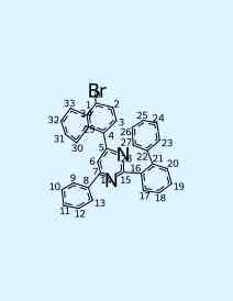 Brc1ccc(-c2cc(-c3ccccc3)nc(-c3ccccc3-c3ccccc3)n2)c2ccccc12